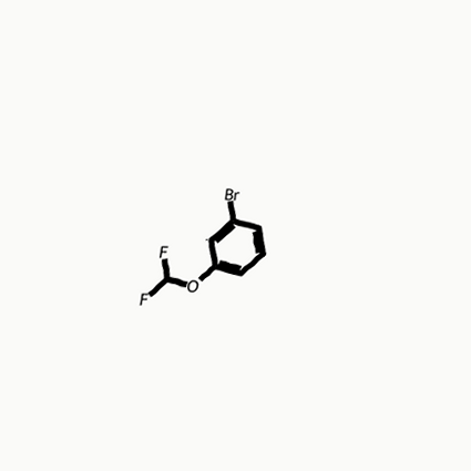 FC(F)Oc1[c]c(Br)ccc1